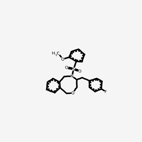 COc1ccccc1S(=O)(=O)N1Cc2ccccc2COCC1Cc1ccc(F)cc1